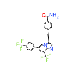 NC(=O)c1ccc(C#Cc2cnc3c(C(F)(F)F)cc(-c4ccc(C(F)(F)F)cc4)cn23)cc1